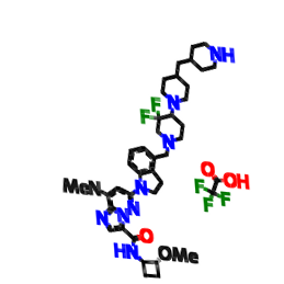 CNc1cc(N2CCc3c(CN4CCC(N5CCC(CC6CCNCC6)CC5)C(F)(F)C4)cccc32)nn2c(C(=O)N[C@@H]3CC[C@H]3OC)cnc12.O=C(O)C(F)(F)F